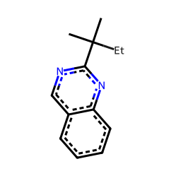 CCC(C)(C)c1ncc2ccccc2n1